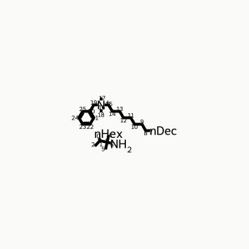 CCCCCCC(C)C(C)(C)N.CCCCCCCCCCCCCCCCCC[N+](C)(C)Cc1ccccc1